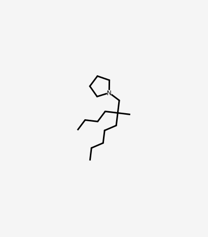 CCCCCC(C)(CCCC)CN1CCCC1